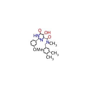 COc1cccc(-c2nc(C(=O)N(C)Cc3ccc(C)c(C)c3)c(O)c(=O)[nH]2)c1